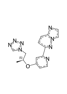 C[C@@H](Cn1cnnn1)Oc1ccnc(-c2ccc3nccn3n2)c1